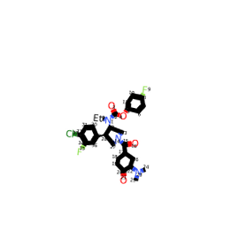 CCN(C(=O)Oc1ccc(F)cc1)[C@@H]1CN(C(=O)C2CCC(=O)C(N(C)C)C2)C[C@H]1c1ccc(Cl)c(F)c1